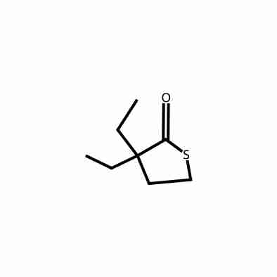 CCC1(CC)CCSC1=O